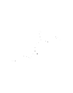 C=CC/C(Br)=C\N=C/CO